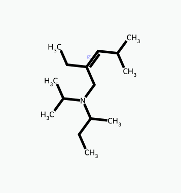 CC/C(=C/C(C)C)CN(C(C)C)C(C)CC